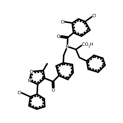 Cc1onc(-c2ccccc2Cl)c1C(=O)c1cccc(CN(C(=O)c2ccc(Cl)cc2Cl)C(Cc2ccccc2)C(=O)O)c1